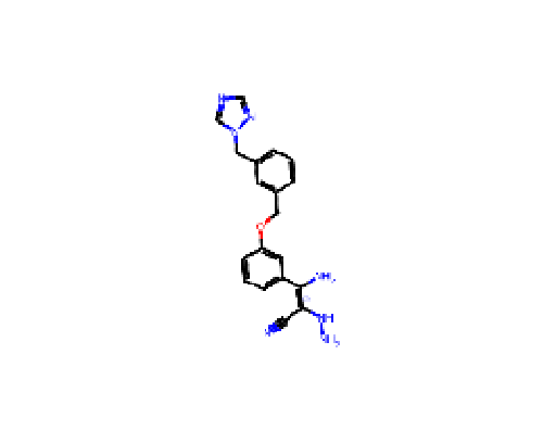 N#C/C(NN)=C(/N)c1cccc(OCc2cccc(Cn3cncn3)c2)c1